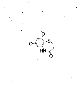 COc1cc2c(c(OC)c1)SCCC(=O)N2